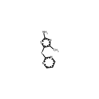 Cc1nc(N)sc1Sc1ncccn1